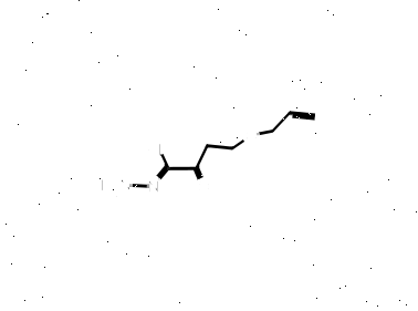 C=CCOCCC(=O)/C(Cl)=N/N